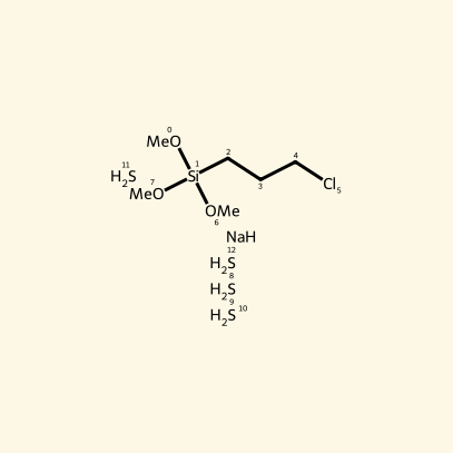 CO[Si](CCCCl)(OC)OC.S.S.S.S.[NaH]